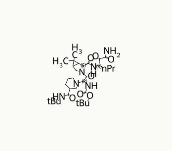 CCC[C@@H](NC(=O)[C@@H]1C2C(CN1C(=O)[C@H](NC(=O)OC(C)(C)C)N1CCCC(C(=O)NC(C)(C)C)C1)C2(C)C)C(=O)C(N)=O